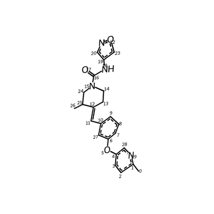 Cc1ccc(Oc2cccc(C=C3CCN(C(=O)Nc4cnoc4)CC3C)c2)cn1